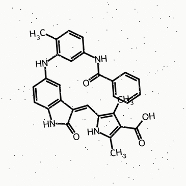 Cc1ccc(NC(=O)c2ccccc2)cc1Nc1ccc2c(c1)C(=Cc1[nH]c(C)c(C(=O)O)c1C)C(=O)N2